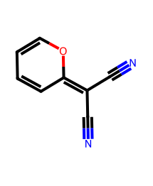 N#CC(C#N)=C1C=CC=CO1